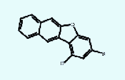 Clc1cc(Br)cc2oc3cc4ccccc4cc3c12